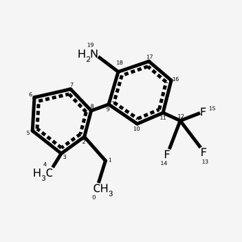 CCc1c(C)cccc1-c1cc(C(F)(F)F)ccc1N